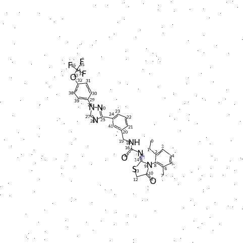 CCc1cccc(C)c1N1C(=O)CS/C1=N\C(=O)NCc1cccc(-c2ncn(-c3ccc(OC(F)(F)F)cc3)n2)c1